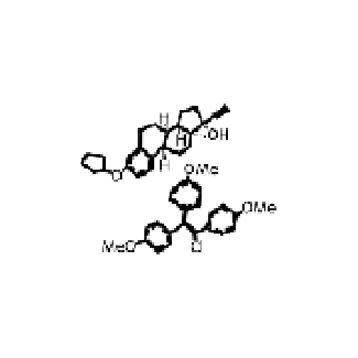 C#C[C@]1(O)CC[C@H]2[C@@H]3CCc4cc(OC5CCCC5)ccc4[C@H]3CC[C@@]21C.COc1ccc(C(Cl)=C(c2ccc(OC)cc2)c2ccc(OC)cc2)cc1